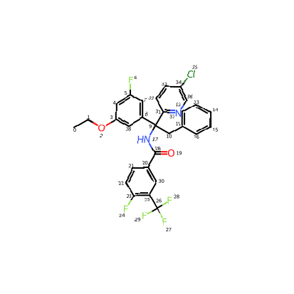 CCOc1cc(F)cc(C(Cc2ccccc2)(NC(=O)c2ccc(F)c(C(F)(F)F)c2)c2ccc(Cl)cn2)c1